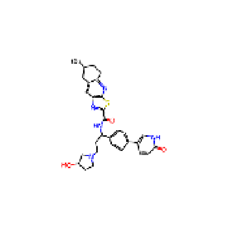 CC(C)(C)[C@H]1CCc2nc3sc(C(=O)NC(CCN4CCC(O)C4)c4ccc(-c5ccc(=O)[nH]c5)cc4)nc3cc2C1